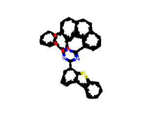 c1ccc(-c2nc(-c3cccc4c3sc3ccccc34)nc(-c3cccc4ccc5ccc6ccccc6c5c34)n2)cc1